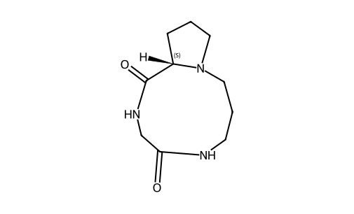 O=C1CNC(=O)[C@@H]2CCCN2CCCN1